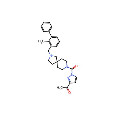 CC(=O)c1ccn(C(=O)N2CCC3(CCN(Cc4cccc(-c5ccccc5)c4C)C3)CC2)n1